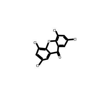 O=c1c2cc(Cl)cc(Cl)c2oc2c(Cl)cc(Cl)cc12